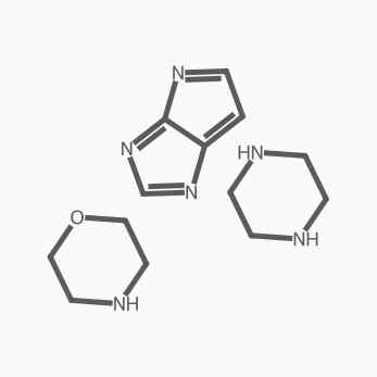 C1=NC2=CC=NC2=N1.C1CNCCN1.C1COCCN1